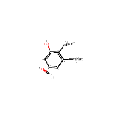 C=O.CCCCCCCCCc1cccc(O)c1CCCCCCCCC